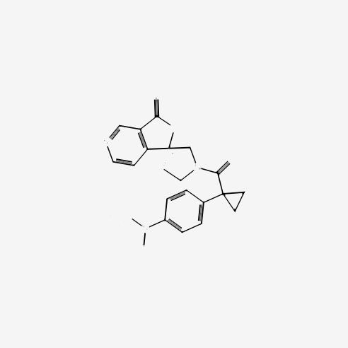 CN(C(=O)O)c1ccc(C2(C(=O)N3CC[C@@]4(C3)OC(=O)c3cnccc34)CC2)cc1